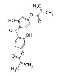 C=C(C)C(=O)Oc1ccc(C(=O)c2ccc(OC(=O)C(=C)C)cc2O)c(O)c1